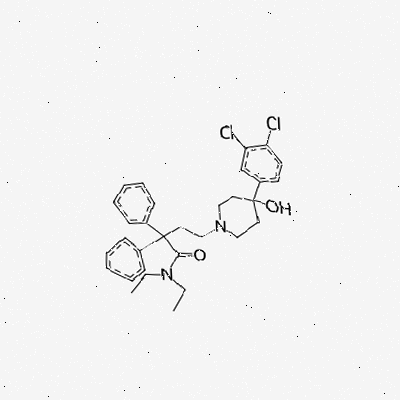 CCN(CC)C(=O)C(CCN1CCC(O)(c2ccc(Cl)c(Cl)c2)CC1)(c1ccccc1)c1ccccc1